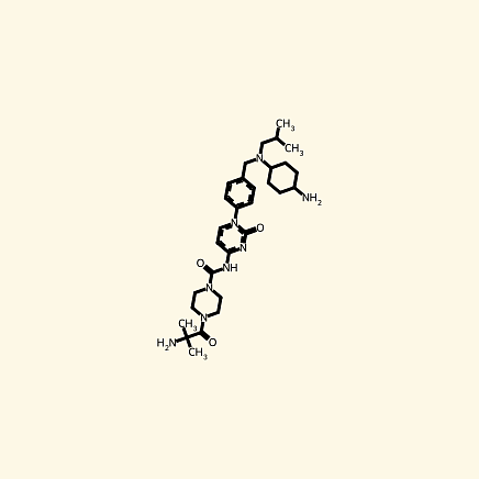 CC(C)CN(Cc1ccc(-n2ccc(NC(=O)N3CCN(C(=O)C(C)(C)N)CC3)nc2=O)cc1)C1CCC(N)CC1